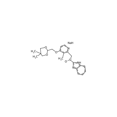 Cc1c(OCC2OCC(C)(C)CO2)ccnc1C[S+]([O-])c1nc2ccccc2[nH]1.[NaH]